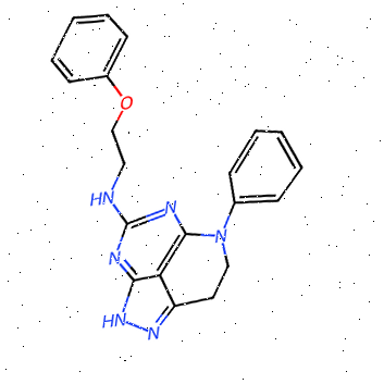 c1ccc(OCCNc2nc3c4c(n[nH]c4n2)CCN3c2ccccc2)cc1